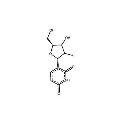 O=c1ccn([C@H]2O[C@@H](CO)C(O)C2I)c(=O)[nH]1